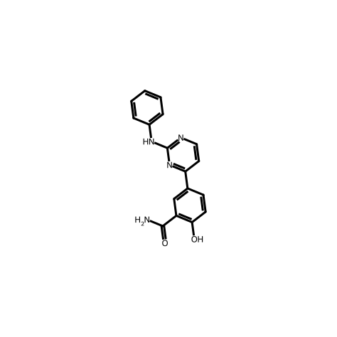 NC(=O)c1cc(-c2ccnc(Nc3ccccc3)n2)ccc1O